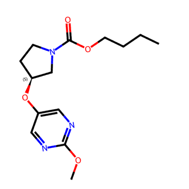 CCCCOC(=O)N1CC[C@H](Oc2cnc(OC)nc2)C1